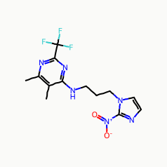 Cc1nc(C(F)(F)F)nc(NCCCn2ccnc2[N+](=O)[O-])c1C